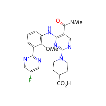 CNC(=O)c1cnc(N2CCC(C(=O)O)CC2)nc1Nc1cccc(-c2ncc(F)cn2)c1OC